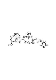 COc1ccc2nccc([C@@H](F)CC[C@@H]3CCN(CCSc4ccoc4)C[C@@H]3C(=O)O)c2c1